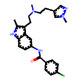 Cc1[nH]c2ccc(NC(=O)c3ccc(F)cc3)cc2c1CCN(C)CCc1cnn(C)c1